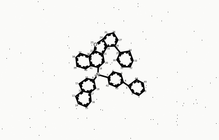 c1ccc(-c2ccc(N(c3ccc4ccccc4c3)c3cc4c(oc5cccc(-c6ccccc6)c54)c4ccccc34)cc2)cc1